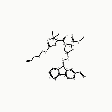 C=CCCCOC(=O)N[C@H](C(=O)N1C[C@H](ON=C2c3ccccc3-c3ccc(C=C)cc32)C[C@H]1C(=O)OC)C(C)(C)C